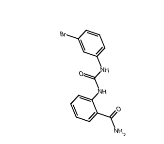 NC(=O)c1ccccc1NC(=O)Nc1cccc(Br)c1